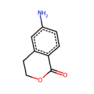 Nc1ccc2c(c1)CCOC2=O